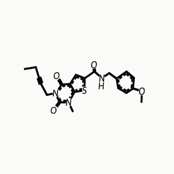 CCC#CCn1c(=O)c2cc(C(=O)NCc3ccc(OC)cc3)sc2n(C)c1=O